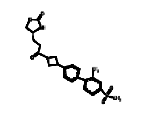 CS(=O)(=O)c1ccc(-c2ccc(C3CN(C(=O)CC[C@@H]4COC(=O)N4)C3)cc2)c(C(F)(F)F)c1